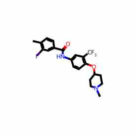 Cc1ccc(C(=O)Nc2ccc(OC3CCN(C)CC3)c(C(F)(F)F)c2)cc1I